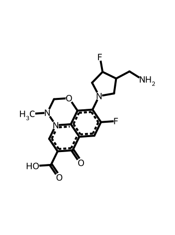 CN1COc2c(N3CC(F)C(CN)C3)c(F)cc3c(=O)c(C(=O)O)cn1c23